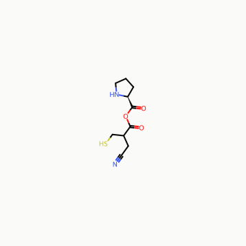 N#CCC(CS)C(=O)OC(=O)[C@@H]1CCCN1